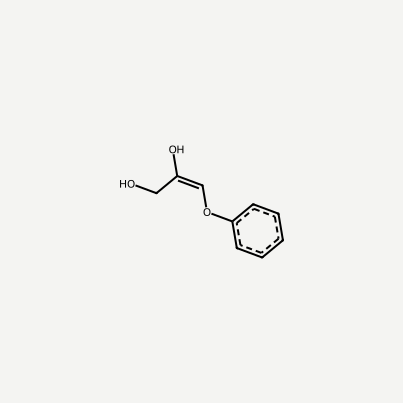 OC/C(O)=C\Oc1ccccc1